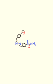 NC(=O)Nc1ccc2c(c1)CN(c1ncc(Cc3ccc(-c4ccco4)cc3)s1)CC2